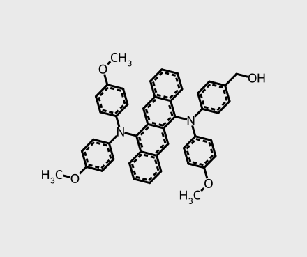 COc1ccc(N(c2ccc(CO)cc2)c2c3ccccc3cc3c(N(c4ccc(OC)cc4)c4ccc(OC)cc4)c4ccccc4cc23)cc1